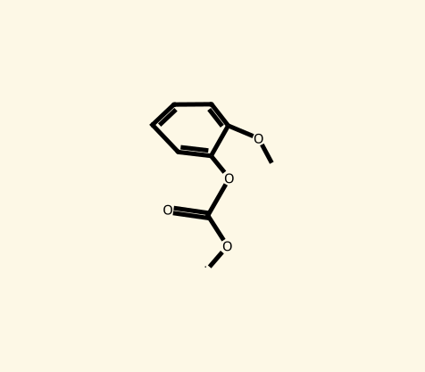 [CH2]OC(=O)Oc1ccccc1OC